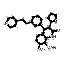 COc1ccc2c(-c3cccc(C=Cc4ccncc4)c3)c(-c3cccs3)c(=O)[nH]c2c1OC